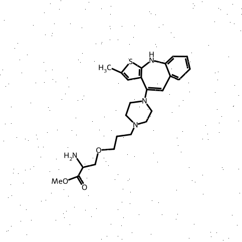 COC(=O)C(N)COCCCN1CCN(C2=Cc3ccccc3Nc3sc(C)cc32)CC1